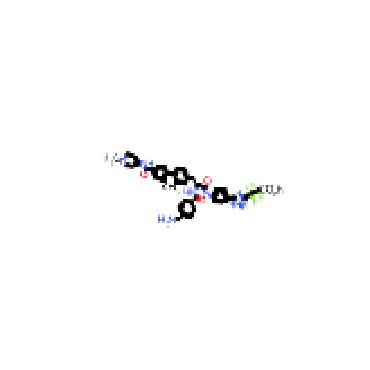 Cc1cc(C(=O)NC2CCN(C)CC2)ccc1-c1ccc(C[C@H](NC(=O)[C@H]2CC[C@H](CN)CC2)C(=O)Nc2ccc(-c3nc(C(F)(F)C(F)(F)C(=O)O)n[nH]3)cc2)cc1